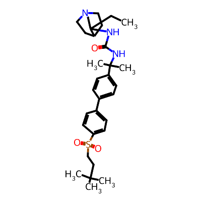 CCC1(NC(=O)NC(C)(C)c2ccc(-c3ccc(S(=O)(=O)CCC(C)(C)C)cc3)cc2)CN2CCC1CC2